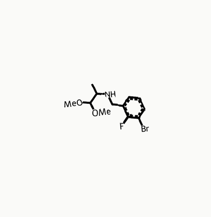 COC(OC)C(C)NCc1cccc(Br)c1F